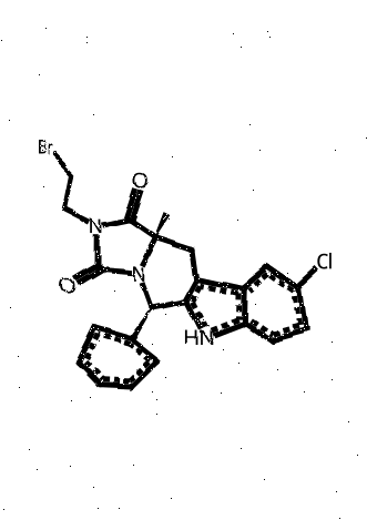 C[C@@]12Cc3c([nH]c4ccc(Cl)cc34)[C@@H](c3ccccc3)N1C(=O)N(CCBr)C2=O